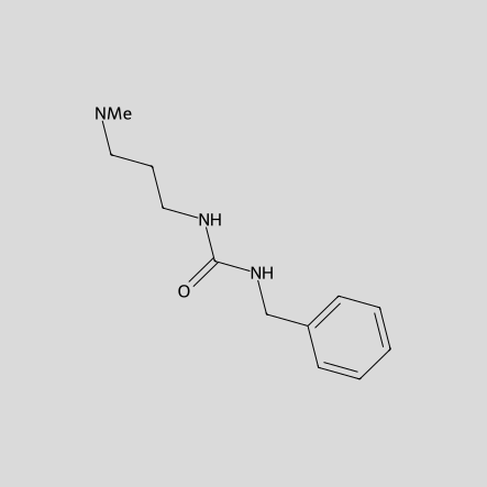 CNCCCNC(=O)NCc1ccccc1